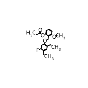 CCC(=O)Oc1cccc(OC)c1COc1cc(F)c(CC)cc1CC